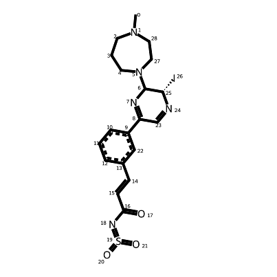 CN1CCCN(C2N=C(c3cccc(/C=C/C(=O)N=S(=O)=O)c3)C=N[C@H]2I)CC1